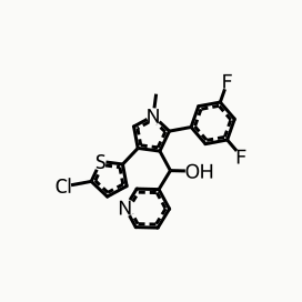 Cn1cc(-c2ccc(Cl)s2)c(C(O)c2cccnc2)c1-c1cc(F)cc(F)c1